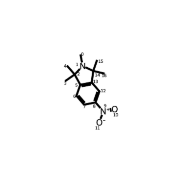 CN1C(C)(C)c2ccc([N+](=O)[O-])cc2C1(C)C